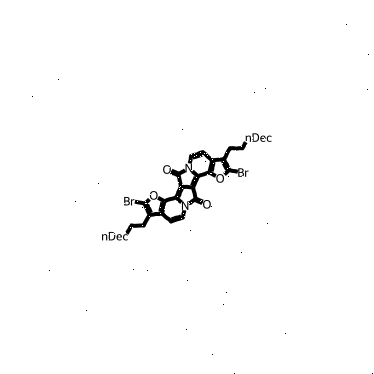 CCCCCCCCCCCCc1c(Br)oc2c1C=CN1C(=O)C3=C4c5oc(Br)c(CCCCCCCCCCCC)c5C=CN4C(=O)C3=C21